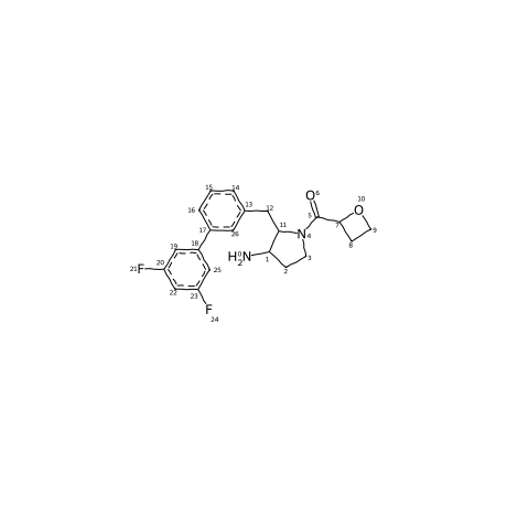 NC1CCN(C(=O)C2CCO2)C1Cc1cccc(-c2cc(F)cc(F)c2)c1